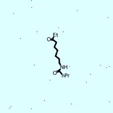 CCCC(=O)NCCCCCCC(=O)CC